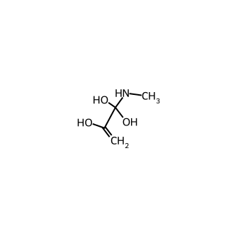 C=C(O)C(O)(O)NC